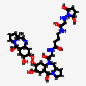 O=C(CCCNC(=O)CNN1C(=O)CCC1=O)NCC(=O)N1CC2CCCN2C(=O)C2CC(O)C(OOC3CC4N=C[C@@H]5CCCN5C(=O)C4CC3O)CC21